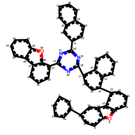 c1ccc(-c2ccc3oc4cccc(-c5ccc(-c6nc(-c7ccc8ccccc8c7)nc(-c7cccc8c7oc7ccccc78)n6)c6ccccc56)c4c3c2)cc1